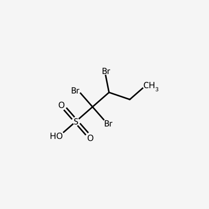 CCC(Br)C(Br)(Br)S(=O)(=O)O